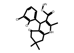 CCCOC(=O)C1=C(C)NC2=C(C(=O)CC(C)(C)C2)C1c1cccc(Cl)c1Cl